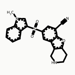 Cn1cc(S(=O)(=O)c2cc(C#N)c3oc4c(c3c2)CNCC4)c2ccccc21